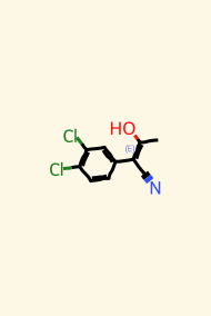 C/C(O)=C(\C#N)c1ccc(Cl)c(Cl)c1